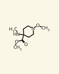 CNC1(C(=O)OC)CCN(OC)CC1